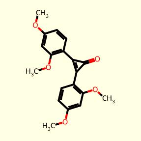 COc1ccc(-c2c(-c3ccc(OC)cc3OC)c2=O)c(OC)c1